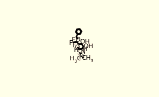 CN(C)C1=N[C@@H]2[C@@H](O)[C@H](O)C([C@H](OCc3ccccc3)C(F)(F)F)O[C@@H]2S1